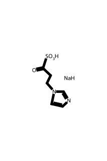 O=C(CCn1ccnc1)S(=O)(=O)O.[NaH]